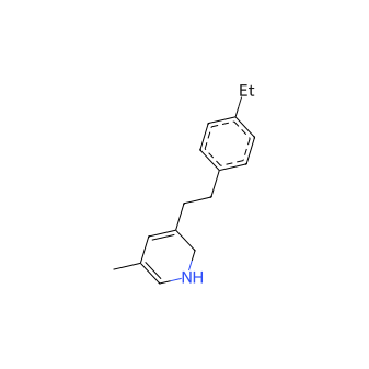 CCc1ccc(CCC2=CC(C)=CNC2)cc1